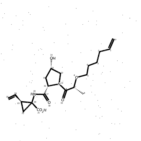 C=CCCCCO[C@H](C)C(=O)N1C[C@@H](O)C[C@H]1C(=O)NC1(C(=O)O)C[C@H]1C=C